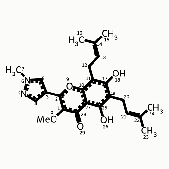 COc1c(-c2cnn(C)c2)oc2c(CC=C(C)C)c(O)c(CC=C(C)C)c(O)c2c1=O